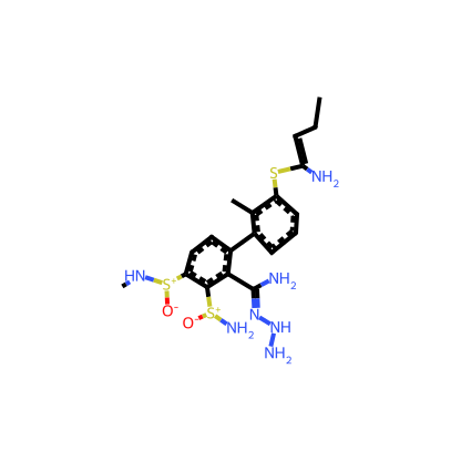 CC/C=C(\N)Sc1cccc(-c2ccc([S+]([O-])NC)c([S+](N)[O-])c2/C(N)=N/NN)c1C